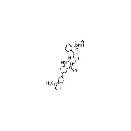 CC(C)NS(=O)(=O)c1ccccc1Nc1nc(Nc2ccc(N3CC[C@H](N(C)C)C3)cc2OC(C)C)ncc1Cl